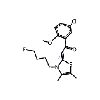 COc1ccc(Cl)cc1C(=O)/C=C1\SC(C)=C(C)N1CCCCF